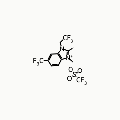 Cc1n(CC(F)(F)F)c2cc(C(F)(F)F)ccc2[n+]1C.O=S(=O)([O-])C(F)(F)F